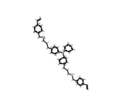 C=Cc1ccc(COCCCc2ccc(N(c3ccccc3)c3ccc(CCCOCc4ccc(C=C)cc4)cc3)cc2)cc1